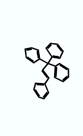 C(=CC(c1ccccc1)(c1ccccc1)c1ccccc1)c1ccccc1